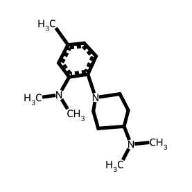 Cc1ccc(N2CCC(N(C)C)CC2)c(N(C)C)c1